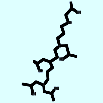 CC(O)CNCCCN(CCC(CCCN(CC(C)O)CC(C)O)CC(C)O)CC(C)O